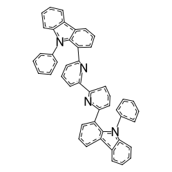 c1ccc(-n2c3ccccc3c3cccc(-c4cccc(-c5cccc(-c6cccc7c8ccccc8n(-c8ccccc8)c67)n5)n4)c32)cc1